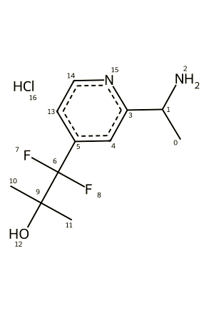 CC(N)c1cc(C(F)(F)C(C)(C)O)ccn1.Cl